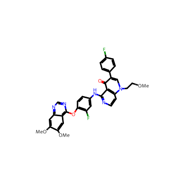 COCCn1cc(-c2ccc(F)cc2)c(=O)c2c(Nc3ccc(Oc4ncnc5cc(OC)c(OC)cc45)c(F)c3)nccc21